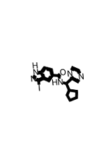 O=C(NC(c1cnccn1)C1CCCC1)c1ccc2[nH]nc(I)c2c1